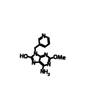 COc1nc(N)c2nc(O)n(Cc3cccnc3)c2n1